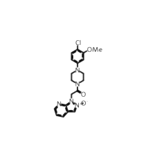 COc1cc(N2CCN(C(=O)Cn3c4ncccc4c[n+]3[O-])CC2)ccc1Cl